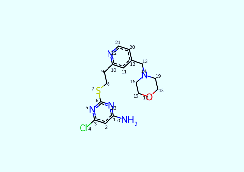 Nc1cc(Cl)nc(SCCc2cc(CN3CCOCC3)ccn2)n1